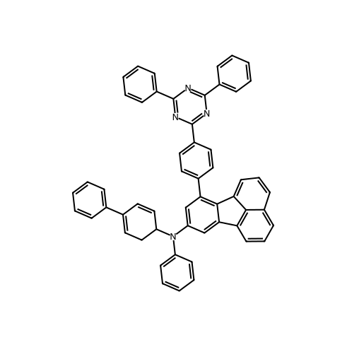 C1=CC(N(c2ccccc2)c2cc(-c3ccc(-c4nc(-c5ccccc5)nc(-c5ccccc5)n4)cc3)c3c(c2)-c2cccc4cccc-3c24)CC=C1c1ccccc1